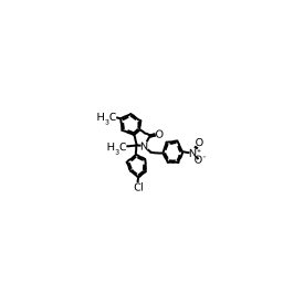 Cc1ccc2c(c1)C(C)(c1ccc(Cl)cc1)N(Cc1ccc([N+](=O)[O-])cc1)C2=O